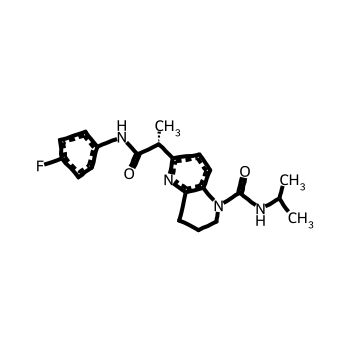 CC(C)NC(=O)N1CCCc2nc([C@@H](C)C(=O)Nc3ccc(F)cc3)ccc21